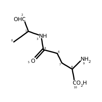 CC(C=O)NC(=O)CCC(N)C(=O)O